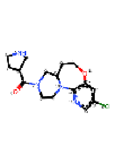 O=C(C1CCNC1)N1CCN2c3ncc(Cl)cc3OCCC2C1